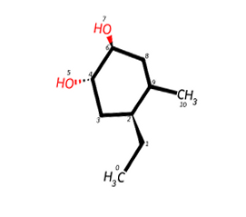 CC[C@H]1C[C@H](O)[C@@H](O)CC1C